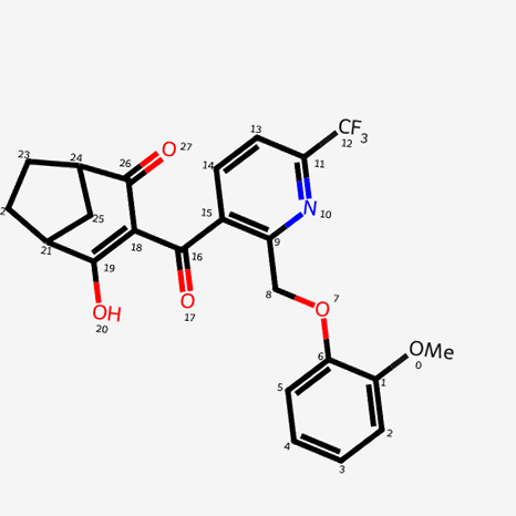 COc1ccccc1OCc1nc(C(F)(F)F)ccc1C(=O)C1=C(O)C2CCC(C2)C1=O